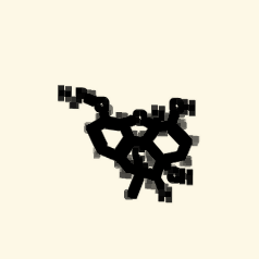 CN1CC[C@@]23c4c5ccc(OP)c4O[C@@H]2C(O)=CC[C@]3(O)[C@@H]1C5